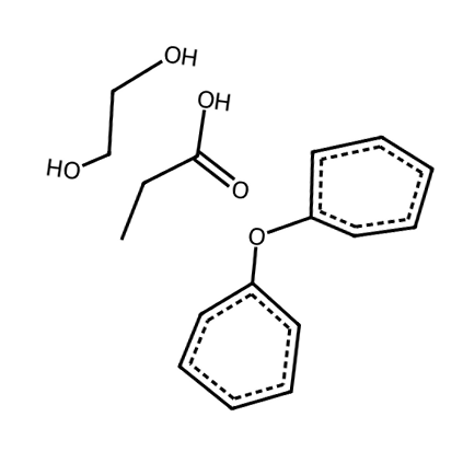 CCC(=O)O.OCCO.c1ccc(Oc2ccccc2)cc1